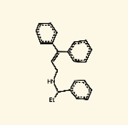 CCC(NCC=C(c1ccccc1)c1ccccc1)c1ccccc1